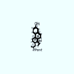 CCCCC[C@@H](C)[C@H]1CC[C@H]2[C@@H]3CC=C4CC(O)=CC[C@]4(C)[C@H]3CC[C@]12C